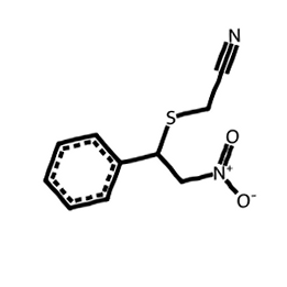 N#CCSC(C[N+](=O)[O-])c1ccccc1